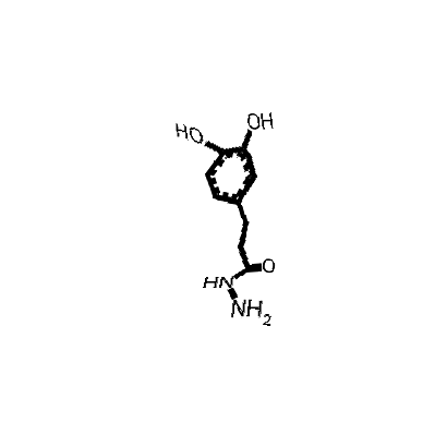 NNC(=O)CCc1ccc(O)c(O)c1